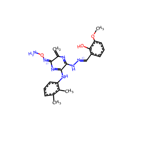 C=C1N=C(N/N=C/c2cccc(OC)c2O)C(Nc2cccc(C)c2C)=N/C1=N/ON